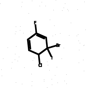 FC1=CC(Br)(I)C(Cl)C=C1